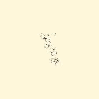 COC(=O)c1cc(F)c(-c2cccc3c2OCN(C(=O)c2c(Cl)cc(-c4cncc5c4nnn5C)cc2Cl)C3)cc1N1C2CCC1COC2